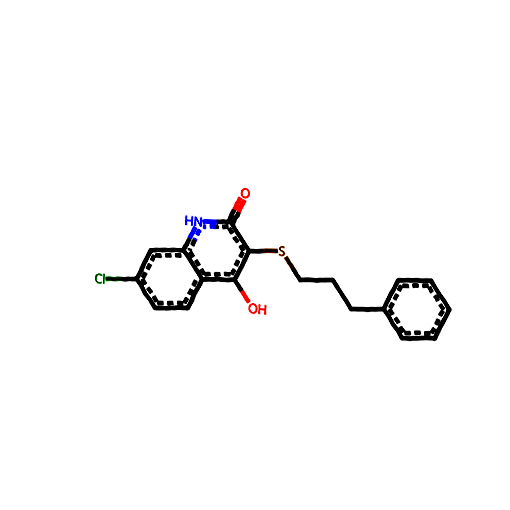 O=c1[nH]c2cc(Cl)ccc2c(O)c1SCCCc1ccccc1